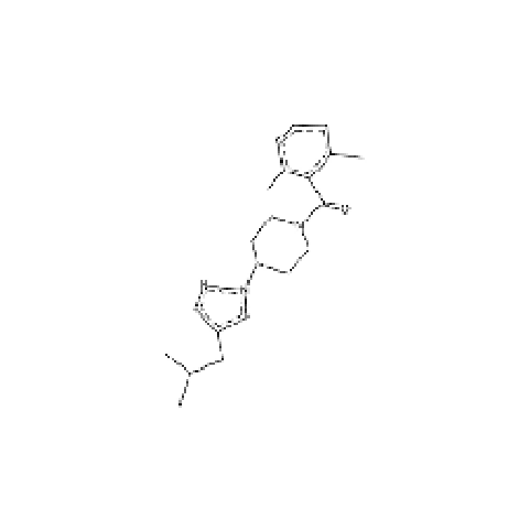 Cc1cccc(C)c1C(=O)N1CCC(n2cc(CC(C)C)cn2)CC1